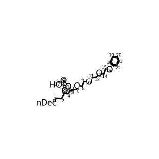 CCCCCCCCCCCCCCC(COCCOCCOCCOc1ccccc1)OP(=O)(O)O